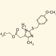 CCOC(=O)Cc1c(C)nc(SCc2ccc(OC)cc2)n1C